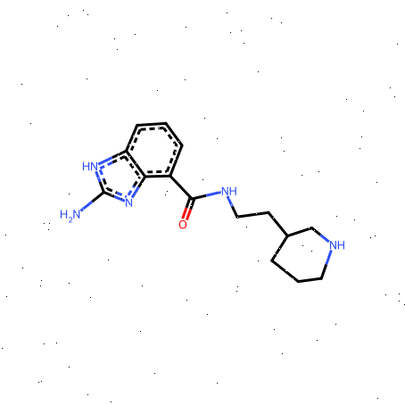 Nc1nc2c(C(=O)NCCC3CCCNC3)cccc2[nH]1